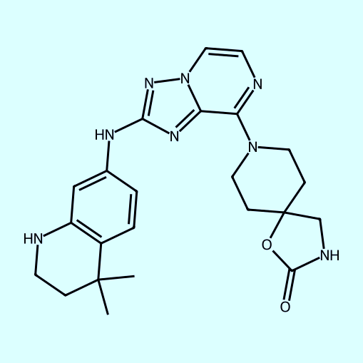 CC1(C)CCNc2cc(Nc3nc4c(N5CCC6(CC5)CNC(=O)O6)nccn4n3)ccc21